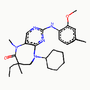 CCC1(C)CN(C2CCCCC2)c2nc(Nc3ccc(C)cc3OC)ncc2N(C)C1=O